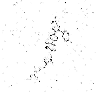 CCOC(=O)OCO/N=[N+](\[O-])N(C)CCC(=O)NS(=O)(=O)c1ccc(-n2nc(C(F)(F)F)cc2-c2ccc(C)cc2)cc1